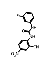 N#Cc1cc([N+](=O)[O-])ccc1NC(=O)Nc1cccc(F)c1